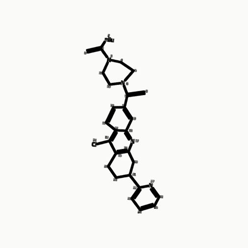 C=C(CCCC)N1CCN(C(=C)c2ccc3c(Cl)c4c(nc3c2)CC(c2ccccn2)CC4)CC1